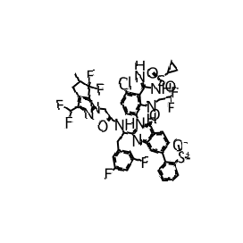 CC1Cc2c(C(F)F)nn(CC(=O)NC(Cc3cc(F)cc(F)c3)c3nc4cc(-c5ccccc5[S+](C)[O-])ccc4c(=O)n3-c3ccc(Cl)c(C(=N)NS(=O)(=O)C4CC4)c3NCC(F)F)c2C1(F)F